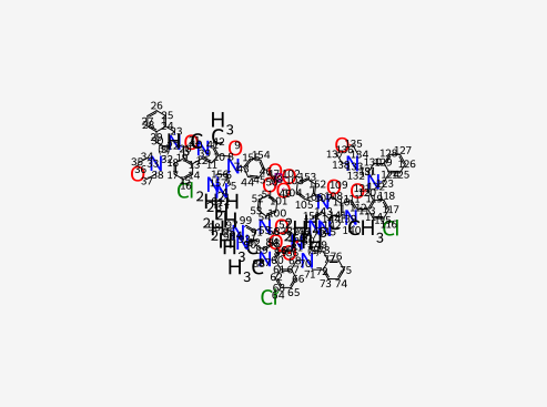 [2H]C([2H])([2H])n1cc(N(C(=O)c2cc(-c3cc(Cl)ccc3C(=O)N3Cc4ccccc4C[C@H]3CN3CCOCC3)n(C)c2C)c2ccc(OP(=O)(Oc3ccc(N(C(=O)c4cc(-c5cc(Cl)ccc5C(=O)N5Cc6ccccc6C[C@H]5CN5CCOCC5)n(C)c4C)c4cnn(C([2H])([2H])[2H])c4)cc3)Oc3ccc(N(C(=O)c4cc(-c5cc(Cl)ccc5C(=O)N5Cc6ccccc6C[C@H]5CN5CCOCC5)n(C)c4C)c4cnn(C([2H])([2H])[2H])c4)cc3)cc2)cn1